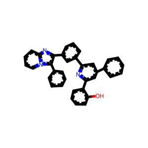 Oc1ccccc1-c1cc(-c2ccccc2)cc(-c2cccc(-c3nc4ccccn4c3-c3ccccc3)c2)n1